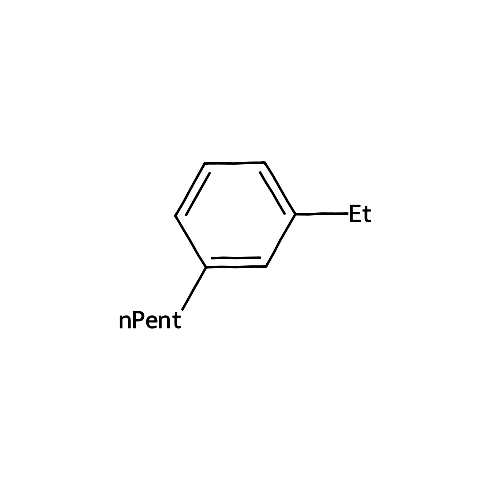 CCCCCc1cccc(CC)c1